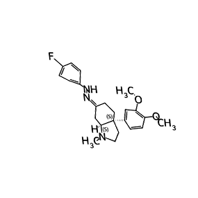 COc1ccc([C@@]23CCC(=NNc4ccc(F)cc4)C[C@@H]2N(C)CC3)cc1OC